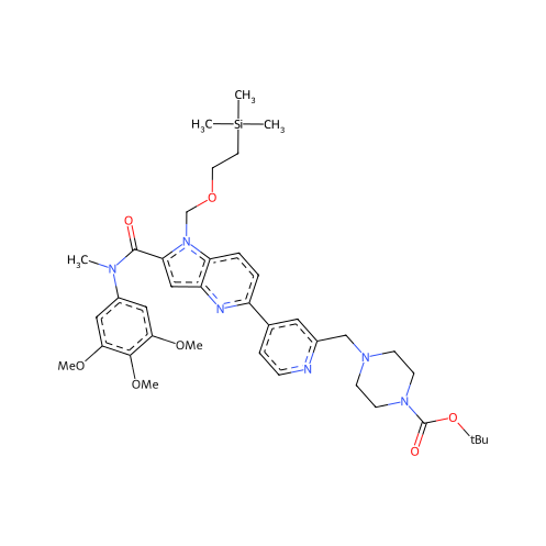 COc1cc(N(C)C(=O)c2cc3nc(-c4ccnc(CN5CCN(C(=O)OC(C)(C)C)CC5)c4)ccc3n2COCC[Si](C)(C)C)cc(OC)c1OC